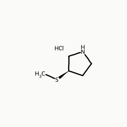 CS[C@@H]1CCNC1.Cl